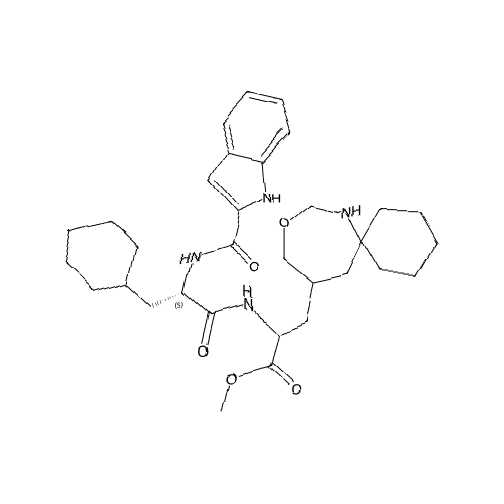 COC(=O)C(CC1COCNC2(CCCCC2)C1)NC(=O)[C@H](CC1CCCCC1)NC(=O)c1cc2ccccc2[nH]1